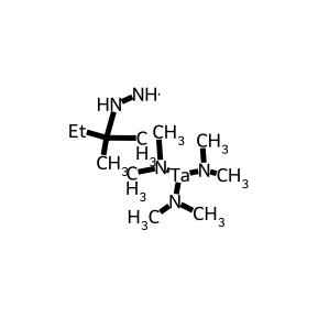 CCC(C)(C)N[NH].C[N](C)[Ta]([N](C)C)[N](C)C